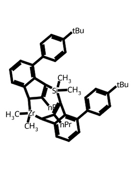 CCCC1=C2c3c(-c4ccc(C(C)(C)C)cc4)cccc3[CH]1[Zr]([CH3])([CH3])[CH]1C(CCC)=C(c3c(-c4ccc(C(C)(C)C)cc4)cccc31)[Si]2(C)C